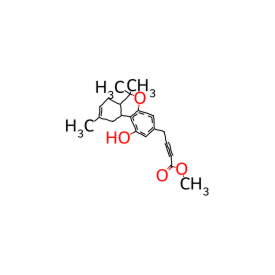 COC(=O)C#CCc1cc(O)c2c(c1)OC(C)(C)C1CC=C(C)CC21